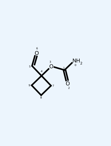 NC(=O)OC1(C=O)CCC1